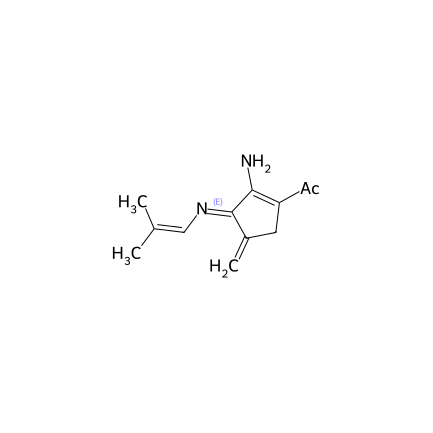 C=C1CC(C(C)=O)=C(N)/C1=N/C=C(C)C